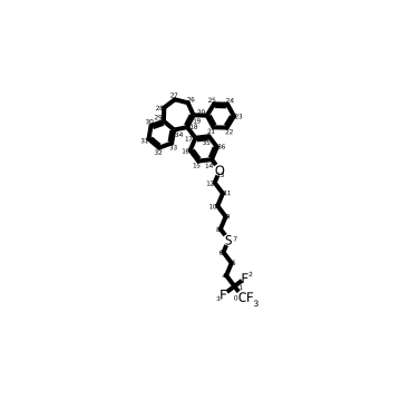 FC(F)(F)C(F)(F)CCCSCCCCCOc1ccc(C2=C(c3ccccc3)CCCc3ccccc32)cc1